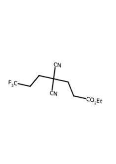 CCOC(=O)CCC(C#N)(C#N)CCC(F)(F)F